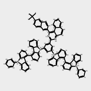 CC(C)(C)c1ccc2cc(-c3nc(-c4cc(-n5c6ccccc6c6c(-c7cccc8c7c7ccccc7n8-c7ccccc7)cccc65)cc(-n5c6ccccc6c6c(-c7cccc8c7c7ccccc7n8-c7ccccc7)cccc65)c4)nc4ccc5ccccc5c34)ccc2c1